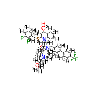 [2H]C1=C(SC([2H])([2H])c2c([2H])c([2H])c([2H])c(F)c2F)N(C([2H])([2H])C(=O)N(Cc2c(C)c([2H])c(-c3c([2H])c([2H])c(C(F)(F)F)c([2H])c3[2H])c([2H])c2C)C2([2H])C([2H])([2H])C([2H])([2H])N(C([2H])([2H])C([2H])([2H])OC([2H])([2H])[2H])C([2H])([2H])C2([2H])[2H])c2c([2H])c([2H])c([2H])c([2H])c2C1O